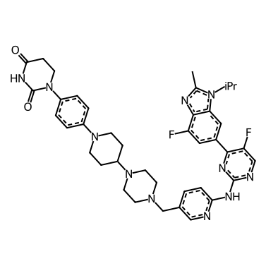 Cc1nc2c(F)cc(-c3nc(Nc4ccc(CN5CCN(C6CCN(c7ccc(N8CCC(=O)NC8=O)cc7)CC6)CC5)cn4)ncc3F)cc2n1C(C)C